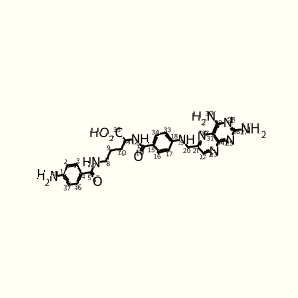 Nc1ccc(C(=O)NCCC[C@H](NC(=O)c2ccc(NCc3cnc4nc(N)nc(N)c4n3)cc2)C(=O)O)cc1